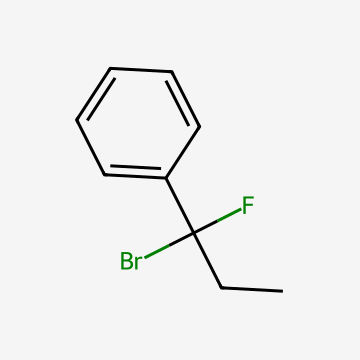 CCC(F)(Br)c1ccccc1